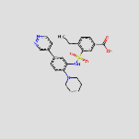 CCc1ccc(C(=O)O)cc1S(=O)(=O)Nc1cc(-c2ccnnc2)ccc1N1CCCCC1